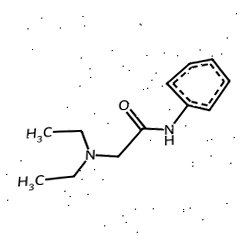 CCN(CC)CC(=O)Nc1cc[c]cc1